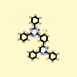 Fc1ccc(-c2cc(-c3ccccc3)nc(-c3ccccc3)n2)cc1-c1nc(-c2ccccc2)nc(-c2ccccc2)n1